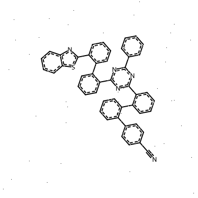 N#Cc1ccc(-c2ccccc2-c2ccccc2-c2nc(-c3ccccc3)nc(-c3ccccc3-c3ccccc3-c3nc4ccccc4s3)n2)cc1